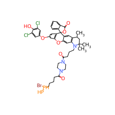 CC1CC(C)(C)N(CCCC(=O)N2CCN(C(=O)CCCC[PH](=P)Br)CC2)c2cc3c(cc21)C1(OC(=O)c2ccccc21)c1ccc(Oc2cc(Cl)c(O)c(Cl)c2)cc1O3